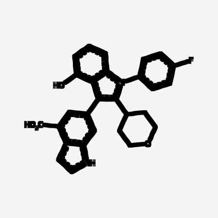 O=C(O)c1cc(-c2c(C3CCOCC3)n(-c3ccc(F)cc3)c3cccc(O)c23)cc2[nH]ccc12